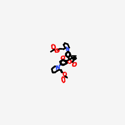 CC(=O)OCCC1CCCCN1c1ccc2c(c1)Oc1cc(N3CCCCC3CCOC(C)=O)ccc1C21OC(=O)c2ccccc21